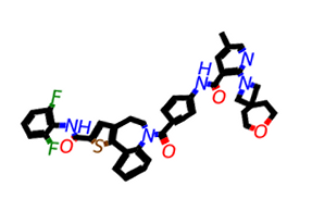 Cc1cnc(N2CC3(CCOCC3)C2)c(C(=O)Nc2ccc(C(=O)N3CCc4cc(C(=O)Nc5c(F)cccc5F)sc4-c4ccccc43)cc2)c1